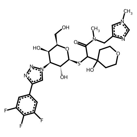 CN(Cc1cn(C)cn1)C(=O)C(S[C@@H]1O[C@H](CO)[C@H](O)[C@H](n2cc(-c3cc(F)c(F)c(F)c3)nn2)[C@H]1O)C1(O)CCOCC1